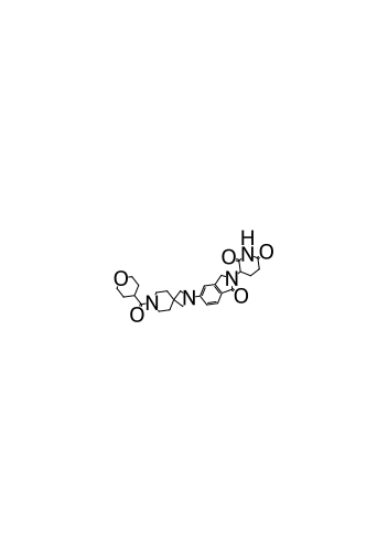 O=C1CCC(N2Cc3cc(N4CC5(CCN(C(=O)C6CCOCC6)CC5)C4)ccc3C2=O)C(=O)N1